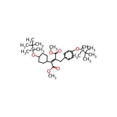 COC(=O)C(Cc1ccc(O[Si](C)(C)C(C)(C)C)cc1)=C(C(=O)OC)C1CCC(O[Si](C)(C)C(C)(C)C)CC1